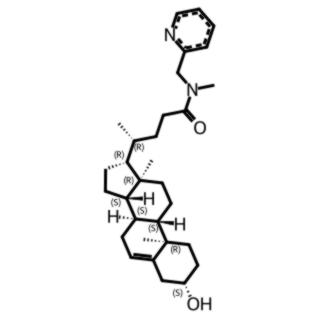 C[C@H](CCC(=O)N(C)Cc1ccccn1)[C@H]1CC[C@H]2[C@@H]3CC=C4C[C@@H](O)CC[C@]4(C)[C@H]3CC[C@]12C